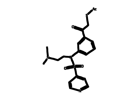 CC(=O)SCC(=O)c1cccc(N(CCN(C)C)S(=O)(=O)c2ccncc2)c1